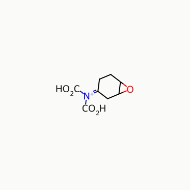 O=C(O)[N+](C(=O)O)=C1CCC2OC2C1